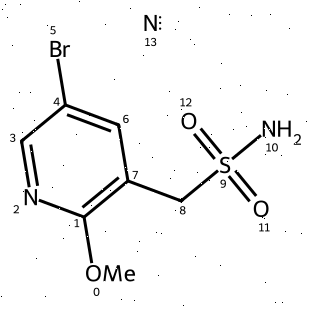 COc1ncc(Br)cc1CS(N)(=O)=O.[N]